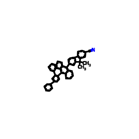 CC1(C)c2cc(C#N)ccc2-c2ccc(-c3c4ccccc4c(-c4ccc(-c5ccccc5)cc4-c4ccccc4)c4ccccc34)cc21